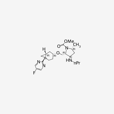 CCCN[C@H]1C[C@@H](C)N(C(=O)OC)[C@H]1CO[C@@H]1CC[C@]2(c3ncc(F)cn3)C[C@@H]2C1